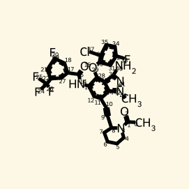 CC(=O)N1CCCCC1C#Cc1cc(NC(=O)c2cc(F)cc(C(F)(F)F)c2)c(Oc2cc(F)ccc2Cl)c2c(N)nn(C)c12